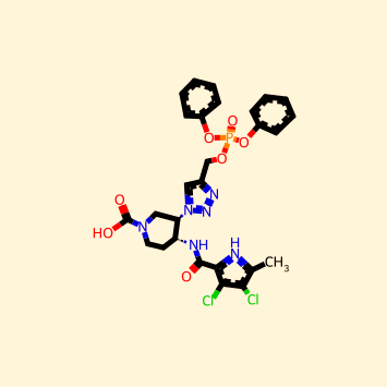 Cc1[nH]c(C(=O)N[C@@H]2CCN(C(=O)O)C[C@@H]2n2cc(COP(=O)(Oc3ccccc3)Oc3ccccc3)nn2)c(Cl)c1Cl